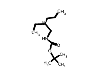 CCC[C@H](CC)CNC(=O)OC(C)(C)C